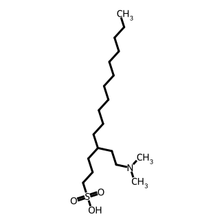 CCCCCCCCCCCC(CCCS(=O)(=O)O)CCN(C)C